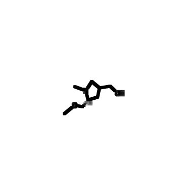 COC[C@H]1CC(CO)CN1C